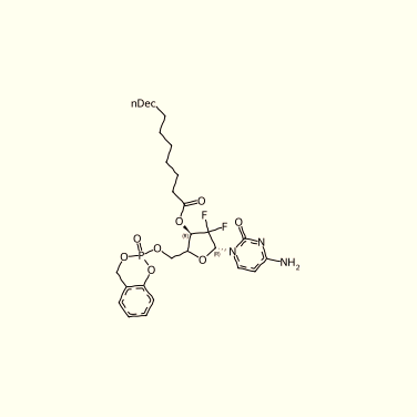 CCCCCCCCCCCCCCCCC(=O)O[C@@H]1C(COP2(=O)OCc3ccccc3O2)O[C@@H](n2ccc(N)nc2=O)C1(F)F